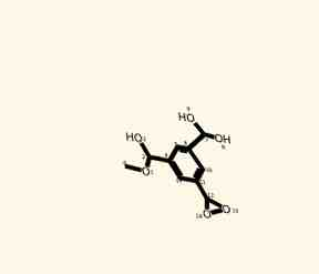 COC(O)c1cc(C(O)O)cc(C2OO2)c1